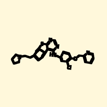 Clc1cc(Nc2ncnc3sc4cc(CCN5CCCC5)ccc4c23)ccc1OCc1ccccn1